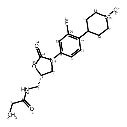 CCC(=O)NC[C@H]1CN(c2ccc(C3CC[S+]([O-])CC3)c(F)c2)C(=O)O1